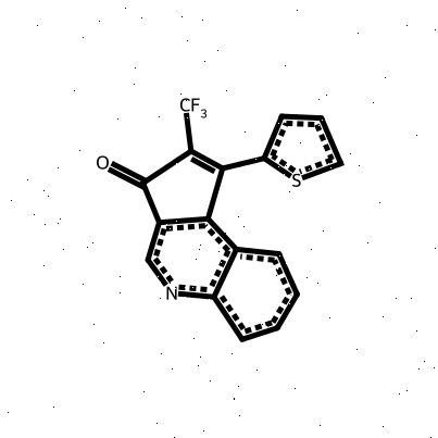 O=C1C(C(F)(F)F)=C(c2cccs2)c2c1cnc1ccccc21